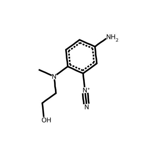 CN(CCO)c1ccc(N)cc1[N+]#N